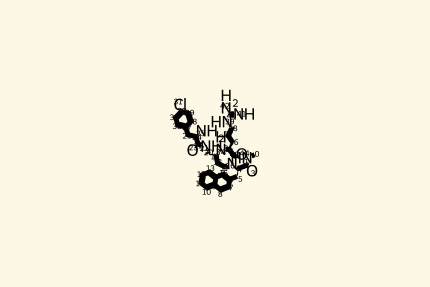 CNC(=O)[C@H](Cc1ccc2ccccc2c1)N1CC[C@H](CNC(=O)[C@H](N)Cc2ccc(Cl)cc2)N[C@@H](CCCNC(=N)N)C1=O